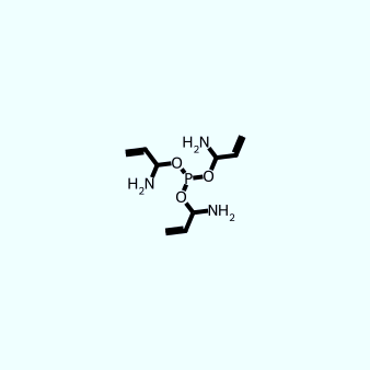 C=CC(N)OP(OC(N)C=C)OC(N)C=C